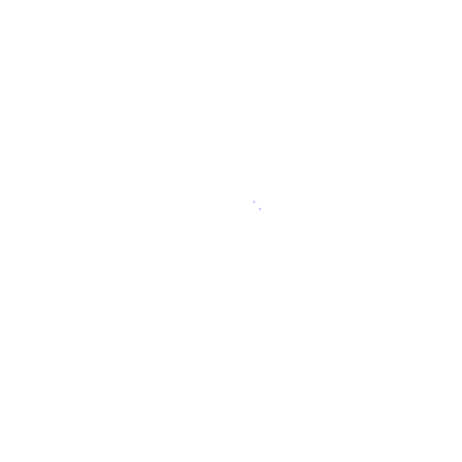 c1c2c(nc3c1CCCC3)CCCC2